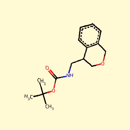 CC(C)(C)OC(=O)NCC1COCc2ccccc21